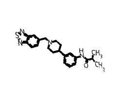 CC(C)C(=O)Nc1cccc(C2CCN(Cc3ccc4nsnc4c3)CC2)c1